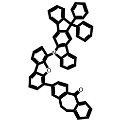 O=C1c2ccccc2CCc2cc(-c3cccc4c3oc3c(-n5c6ccccc6c6cc7c(cc65)-c5ccccc5C7(c5ccccc5)c5ccccc5)cccc34)ccc21